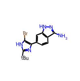 CC(C)(C)c1nc(-c2ccc3c(N)n[nH]c3c2)c(Br)[nH]1